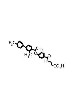 Cc1cc(-c2ccc(C(F)(F)F)cc2)ccc1C(C)Oc1ccc(C(=O)NCCC(=O)O)cc1